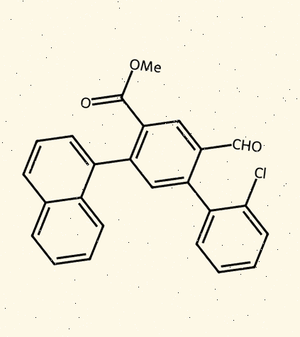 COC(=O)c1cc(C=O)c(-c2ccccc2Cl)cc1-c1cccc2ccccc12